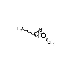 CCCCCCc1cnc([C@]2(C#N)CC[C@H](CCC)CC2)nc1